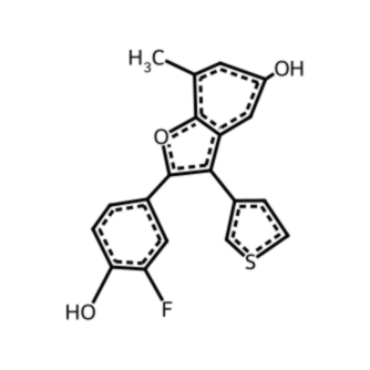 Cc1cc(O)cc2c(-c3ccsc3)c(-c3ccc(O)c(F)c3)oc12